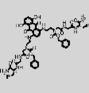 CC(C)C[C@H](NC(=O)CNC(=O)CN(CCNc1ccc(NCCN(CC(=O)NCC(=O)N[C@@H](CC(C)C)C(N)=O)C(=O)OCc2ccccc2)c2c1C(=O)c1c(O)ccc(O)c1C2=O)C(=O)OCc1ccccc1)C(N)=O